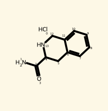 Cl.NC(=O)C1Cc2ccccc2CN1